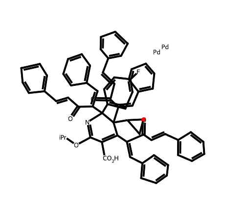 CC(C)OC1=NC(C(=Cc2ccccc2)C(=O)C=Cc2ccccc2)(c2ccc(F)cc2)C(C(=Cc2ccccc2)C(=O)C=Cc2ccccc2)(C2CC2)C(C(=Cc2ccccc2)C(=O)C=Cc2ccccc2)=C1C(=O)O.[Pd].[Pd]